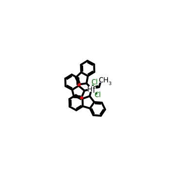 C[CH]=[Hf]([Cl])([Cl])([CH]1C=Cc2ccccc21)([CH]1C=Cc2ccccc21)[CH]1c2ccccc2-c2ccccc21